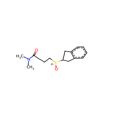 CN(C)C(=O)CC[S@+]([O-])C1Cc2ccccc2C1